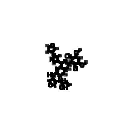 C=CC(O)N[C@H]1COC[C@H]1Nc1ncc2cc(-c3c(Cl)c(OC)cc(OC)c3Cl)nc(-c3cnn(C4CCOC4)c3)c2n1